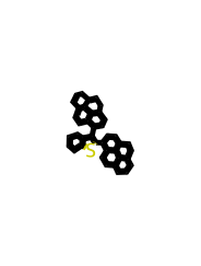 C1=Cc2ccc3c(-c4c(-c5ccc6ccc7cccc8ccc5c6c78)sc5ccccc45)ccc4c3c2C(=CC4)C1